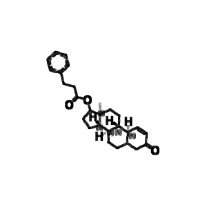 C[C@]12CC[C@H]3[C@@H](CCC4CC(=O)C=C[C@@H]43)[C@@H]1CCC2OC(=O)CCc1ccccc1